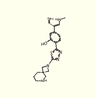 CN/C=C(\C=N)c1ccc(-c2nnc(N3CC4(CCCNC4)C3)s2)c(O)c1